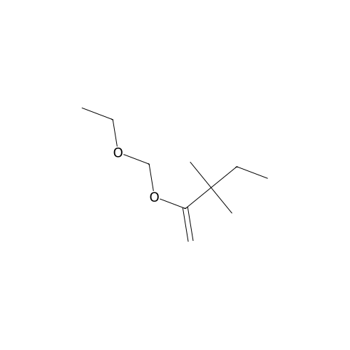 C=C(OCOCC)C(C)(C)CC